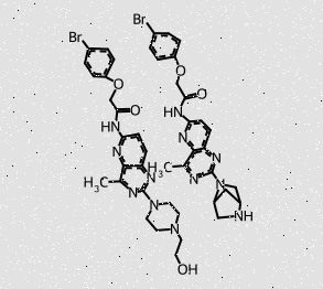 Cc1nc(N2CC3CC2CN3)nc2ccc(NC(=O)COc3ccc(Br)cc3)nc12.Cc1nc(N2CCN(CCO)CC2)nc2ccc(NC(=O)COc3ccc(Br)cc3)nc12